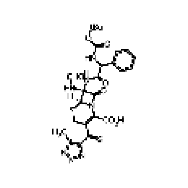 Cn1nnnc1C(=S)C1=C(C(=O)O)N2C(=O)[C@@](NC=O)(NC(=O)C(NC(=O)OC(C)(C)C)c3ccccc3)[C@@H]2SC1